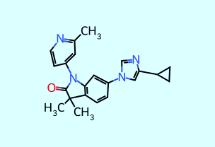 Cc1cc(N2C(=O)C(C)(C)c3ccc(-n4cnc(C5CC5)c4)cc32)ccn1